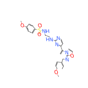 C=C(c1ccnc(NCCNS(=O)(=O)c2ccc(OC)cc2)n1)n1cco/c1=N/CC(/C=C\COC)=C/C